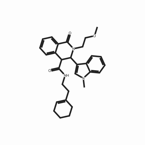 COCCN1C(=O)c2ccccc2C(C(=O)NCCC2=CCCCC2)C1c1cn(C)c2ccccc12